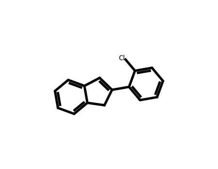 Clc1ccccc1C1=Cc2ccccc2C1